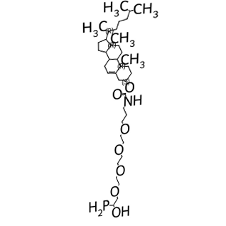 CC(C)CCC[C@@H](C)C1CCC2C3CC=C4C[C@@H](OC(=O)NCCCOCCOCCOCCOCC(O)P)CC[C@]4(C)C3CC[C@@]21C